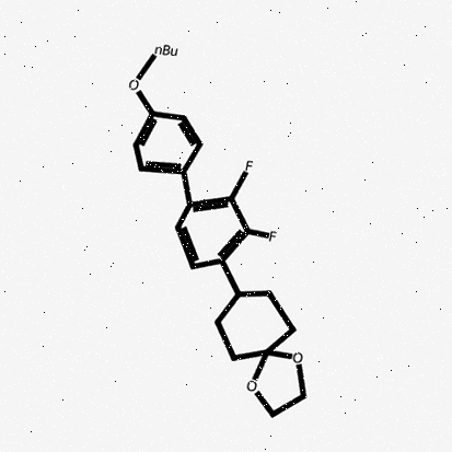 CCCCOc1ccc(-c2ccc(C3CCC4(CC3)OCCO4)c(F)c2F)cc1